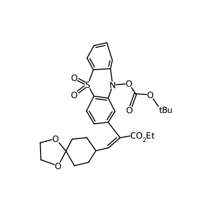 CCOC(=O)/C(=C/C1CCC2(CC1)OCCO2)c1ccc2c(c1)N(OC(=O)OC(C)(C)C)c1ccccc1S2(=O)=O